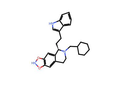 c1ccc2c(CC[C@@H]3c4cc5c(cc4CCN3CC3CCCCC3)ONO5)c[nH]c2c1